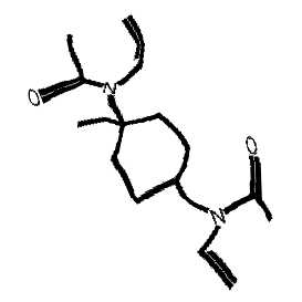 C=CN(C(C)=O)C1CCC(C)(N(C=C)C(C)=O)CC1